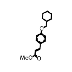 COC(=O)C=Cc1ccc(OCC2CCCCC2)cc1